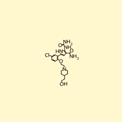 NC(=O)Nc1[nH]c(-c2cc(Cl)ccc2OCCN2CCC(CCO)CC2)cc1C(N)=O